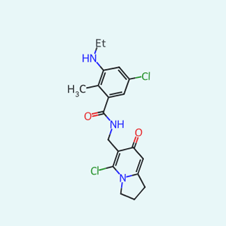 CCNc1cc(Cl)cc(C(=O)NCc2c(Cl)n3c(cc2=O)CCC3)c1C